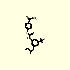 CCC(C)Cc1cc(NC(=S)Nc2ccc(C(N)=O)cc2)cc(C(F)(F)F)c1